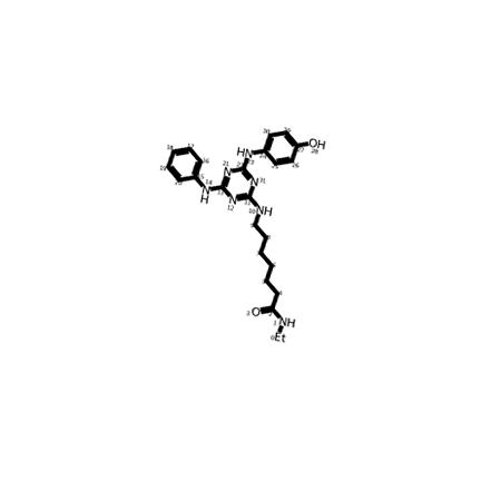 CCNC(=O)CCCCCCNc1nc(Nc2ccccc2)nc(Nc2ccc(O)cc2)n1